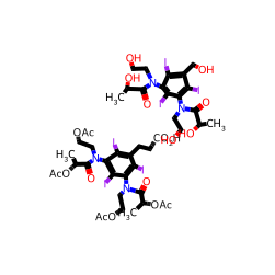 CC(=O)OCCN(C(=O)C(C)OC(C)=O)c1c(I)c(CCC(=O)O)c(I)c(N(CCOC(C)=O)C(=O)C(C)OC(C)=O)c1I.CC(O)C(=O)N(CCO)c1c(I)c(CO)c(I)c(N(CCO)C(=O)C(C)O)c1I